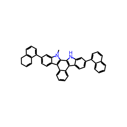 Cn1c2cc(-c3cccc4c3C=CCC4)ccc2c2c3ccccc3c3c4ccc(-c5cccc6ccccc56)cc4[nH]c3c21